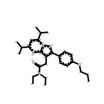 CCCOc1ccc(-c2nn3c(C(C)C)cc(C(C)C)nc3c2CC(=O)N(CC)CC)cc1